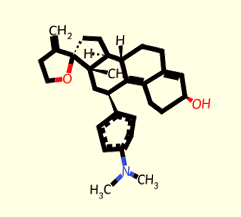 C=C1CCO[C@@]12CC[C@H]1[C@@H]3CCC4=C[C@@H](O)CCC4=C3[C@@H](c3ccc(N(C)C)cc3)C[C@@]12C